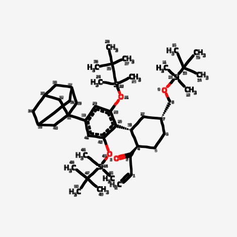 C=CC(=O)[C@@H]1CC[C@@H](CO[Si](C)(C)C(C)(C)C)C[C@H]1c1c(O[Si](C)(C)C(C)(C)C)cc(C23CC4CC(CC(C4)C2)C3)cc1O[Si](C)(C)C(C)(C)C